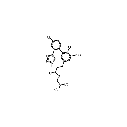 CCCCC(CC)COC(=O)CCc1cc(-c2ccc(Cl)cc2-c2c[nH]nn2)c(O)c(C(C)(C)C)c1